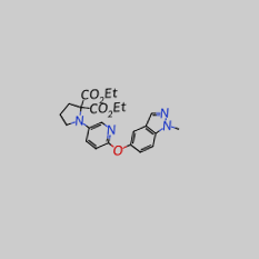 CCOC(=O)C1(C(=O)OCC)CCCN1c1ccc(Oc2ccc3c(cnn3C)c2)nc1